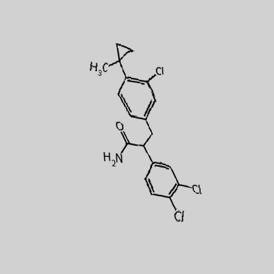 CC1(c2ccc(CC(C(N)=O)c3ccc(Cl)c(Cl)c3)cc2Cl)CC1